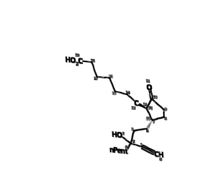 C#CC(O)(CCCCC)CC[C@H]1CCC(=O)[C@@H]1CCCCCCC(=O)O